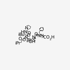 CC[C@H](C)[C@H](NC(=O)[C@H]1CCCCN1C)C(=O)N(COC(=O)CC(C)C)[C@H](C[C@@H](O)c1nc(C(=O)N[C@@H](Cc2ccccc2)C[C@H](C)C(=O)O)cs1)C(C)C